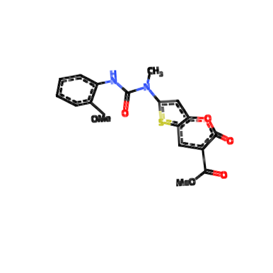 COC(=O)c1cc2sc(N(C)C(=O)Nc3ccccc3OC)cc2oc1=O